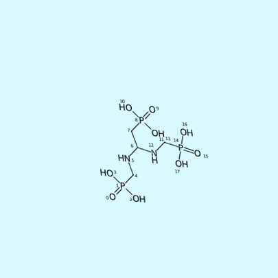 O=P(O)(O)CNC(CP(=O)(O)O)NCP(=O)(O)O